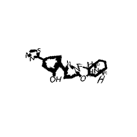 Oc1cc(-c2nncs2)ccc1-c1ccc(O[C@@H]2C[C@H]3CCC[C@H](N3)[C@@H]2F)nn1